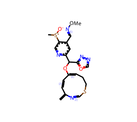 C=C1/C=C\C(OC(c2cc(/C=N/OC)c([S+](C)[O-])cn2)c2nnco2)=C/CCS/C=N\1